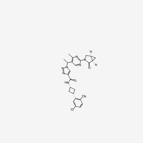 Cc1nc(N2C[C@H]3C[C@H]3C2=O)ncc1C(C)n1cc(C(=O)N[C@H]2C[C@@H](c3cc(Cl)ccc3C#N)C2)nn1